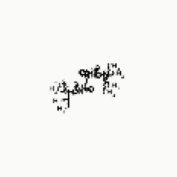 CCCCC(CC)CN(CC(CC)CCCC)C(=O)c1ccc2nc(-c3cc4ccccc4n3CCCCn3c(-c4nc5ccc(C(=O)N(CC(CC)CCCC)CC(CC)CCCC)cc5c(=O)o4)cc4ccccc43)oc(=O)c2c1